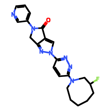 O=C1c2cn(-c3ccc(N4CCCCCC(F)C4)nn3)nc2CN1c1cccnc1